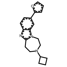 c1coc(-c2ccc3nc4n(c3c2)CCN(C2CCC2)CC4)c1